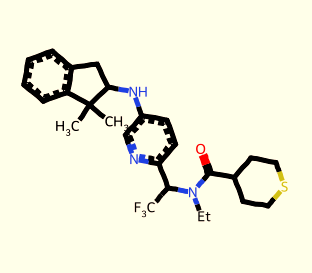 CCN(C(=O)C1CCSCC1)C(c1ccc(NC2Cc3ccccc3C2(C)C)cn1)C(F)(F)F